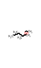 CC=CCCC(C)=CCCC(C)=CCCC1(C)OCCC(C)O1